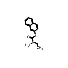 CCN(C)C(=O)Sc1ccc2ccccc2c1